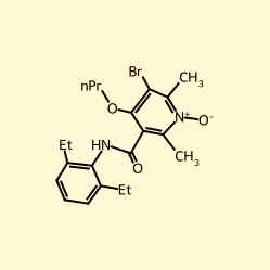 CCCOc1c(Br)c(C)[n+]([O-])c(C)c1C(=O)Nc1c(CC)cccc1CC